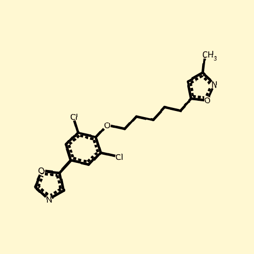 Cc1cc(CCCCCOc2c(Cl)cc(-c3cnco3)cc2Cl)on1